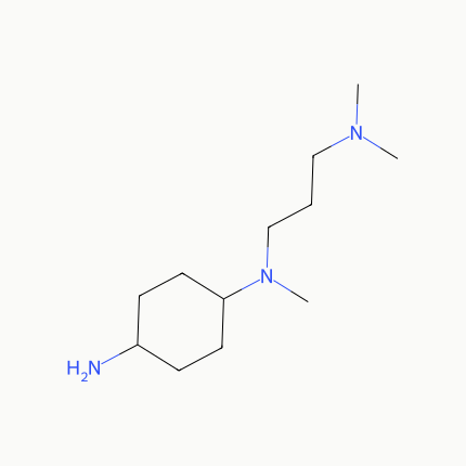 CN(C)CCCN(C)C1CCC(N)CC1